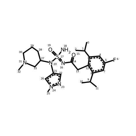 CC(C)c1cc(F)cc(C(C)C)c1CC(=O)N=S(N)(=O)N(c1cnn(C)c1)C1CCCN(C)C1